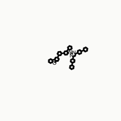 c1ccc(-c2ccc(-c3cc(-c4ccc(-c5ccccc5)cc4)nc(-n4c5ccccc5c5cc(-c6cccc(-c7ccc8oc9ccccc9c8c7)c6)ccc54)n3)cc2)cc1